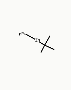 CC[CH2][Zn][C](C)(C)C